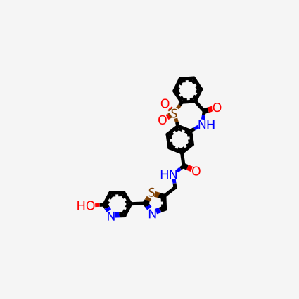 O=C(NCc1cnc(-c2ccc(O)nc2)s1)c1ccc2c(c1)NC(=O)c1ccccc1S2(=O)=O